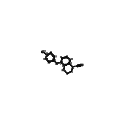 N#CC1CCOc2c(Oc3ccc(Cl)cc3)cccc21